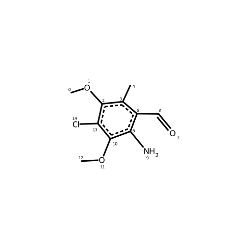 COc1c(C)c(C=O)c(N)c(OC)c1Cl